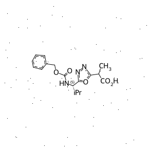 CC(C(=O)O)c1nnc([C@@H](NC(=O)OCc2ccccc2)C(C)C)o1